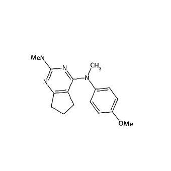 CNc1nc2c(c(N(C)c3ccc(OC)cc3)n1)CCC2